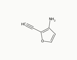 C#Cc1occc1N